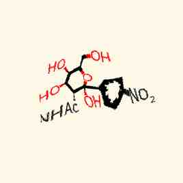 CC(=O)N[C@@H]1[C@@H](O)[C@@H](O)[C@@H](CO)O[C@]1(O)c1ccc([N+](=O)[O-])cc1